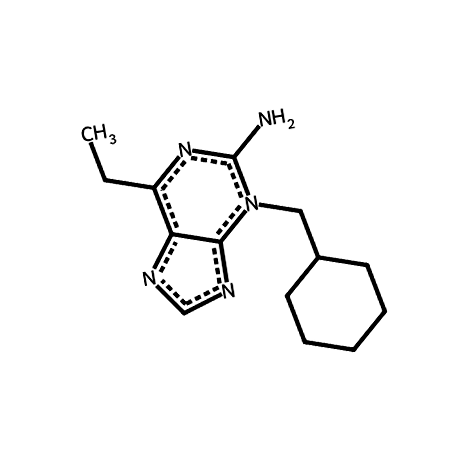 CCc1nc(N)n(CC2CCCCC2)c2ncnc1-2